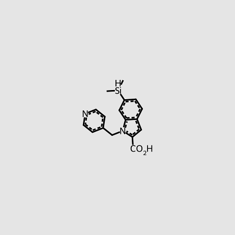 C[SiH](C)c1ccc2cc(C(=O)O)n(Cc3ccncc3)c2c1